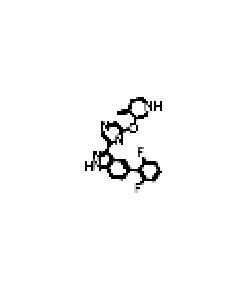 C=C1CCNC[C@H]1Oc1cncc(-c2n[nH]c3ccc(-c4c(F)cccc4F)cc23)n1